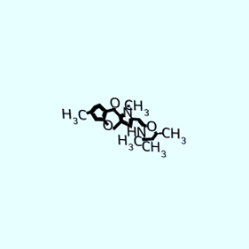 Cc1ccc2c(c1)OCc1cc(C=C3NC(C)(C)C[C@H](C)O3)n(C)c1C2=O